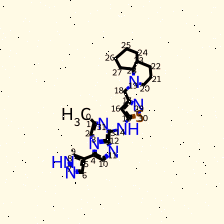 Cc1cn2c(-c3cn[nH]c3)cnc2c(Nc2cc(CN3CCCC4CCCCC43)ns2)n1